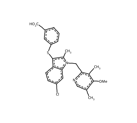 COc1c(C)cnc(Cn2c(C)c(Sc3cccc(C(=O)O)c3)c3ccc(Cl)cc32)c1C